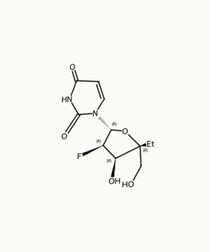 CC[C@]1(CO)O[C@@H](n2ccc(=O)[nH]c2=O)[C@H](F)[C@@H]1O